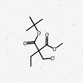 CCC(CCl)(C(=O)OC)C(=O)OC(C)(C)C